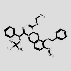 CCOC(=O)[C@@H]1Cc2c(ccc(OC)c2OCc2ccccc2)CN1C(=O)[C@@H](OC(C)(C)C)c1ccccc1